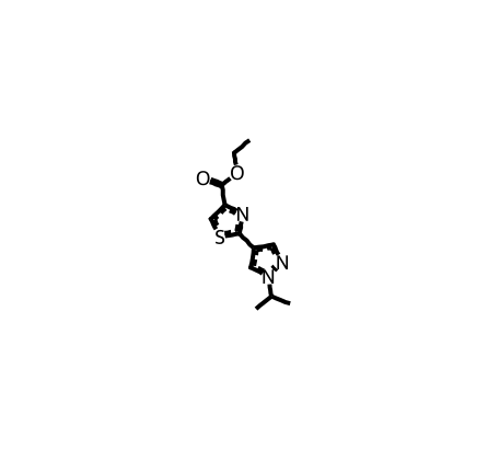 CCOC(=O)c1csc(-c2cnn(C(C)C)c2)n1